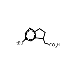 CC(C)(C)c1ccc2c(c1)C(CC(=O)O)CC2